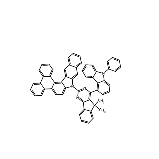 CC1(C)c2ccccc2-c2nc(-n3c4cc5ccccc5cc4c4c5c6ccccc6c6ccccc6c5ccc43)nc(-c3cccc4c3c3ccccc3n4-c3ccccc3)c21